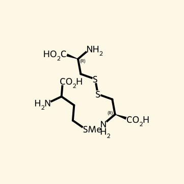 CSCCC(N)C(=O)O.N[C@@H](CSSC[C@H](N)C(=O)O)C(=O)O